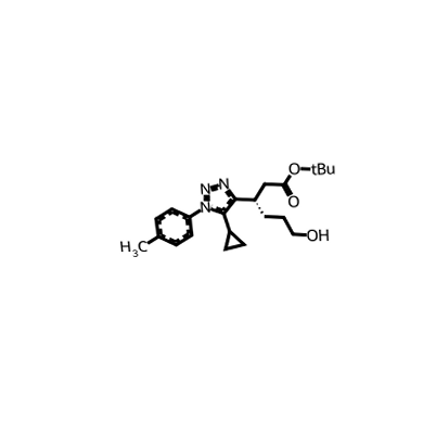 Cc1ccc(-n2nnc([C@@H](CCCO)CC(=O)OC(C)(C)C)c2C2CC2)cc1